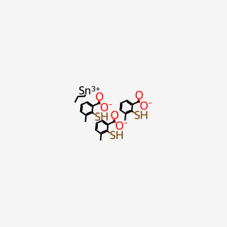 CC[CH2][Sn+3].Cc1cccc(C(=O)[O-])c1S.Cc1cccc(C(=O)[O-])c1S.Cc1cccc(C(=O)[O-])c1S